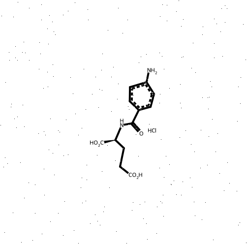 Cl.Nc1ccc(C(=O)N[C@@H](CCC(=O)O)C(=O)O)cc1